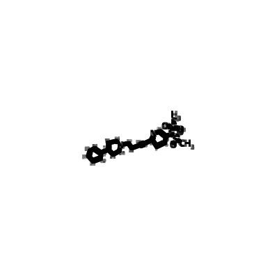 CS(=O)(=O)N(c1ccc(C#CCCN2CC=C(c3ccccc3)CC2)nc1)S(C)(=O)=O